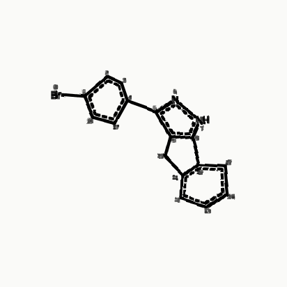 Brc1ccc(-c2n[nH]c3c2Cc2ccccc2-3)cc1